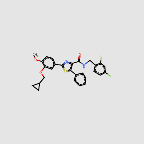 COc1ccc(-c2nc(C(=O)NCc3ccc(F)cc3F)c(-c3ccccc3)s2)cc1OCC1CC1